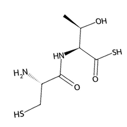 C[C@@H](O)[C@H](NC(=O)[C@@H](N)CS)C(=O)S